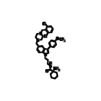 NC1(C(=O)NCCCn2cc(-c3ccc(OC(F)(F)F)cc3)c3cc(CN4CCN(Cc5c(Cl)cccc5Cl)CC4)ccc32)CCCCC1